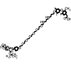 Cc1cc(CC(=O)O)cc(I)c1Oc1cc(I)c(OCCCNCCCNCCOCCOCCOCCOCCOCCOCCOc2ccc(CN/C(=N/C(=O)OC(C)(C)C)NC(=O)OC(C)(C)C)cc2)c(I)c1